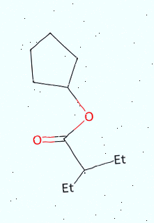 CC[C](CC)C(=O)OC1CCCC1